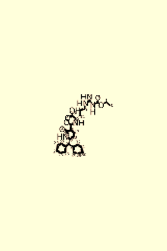 CCOC(=O)NC(=N)NCCC[C@H](NC(=O)c1ccc(C(c2ccccc2)c2ccccc2)[nH]c1=O)C(=O)O